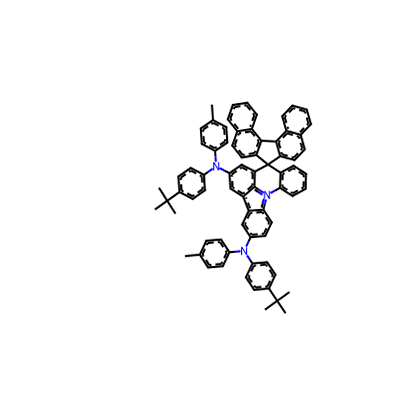 Cc1ccc(N(c2ccc(C(C)(C)C)cc2)c2ccc3c(c2)c2cc(N(c4ccc(C)cc4)c4ccc(C(C)(C)C)cc4)cc4c2n3-c2ccccc2C42c3ccc4ccccc4c3-c3c2ccc2ccccc32)cc1